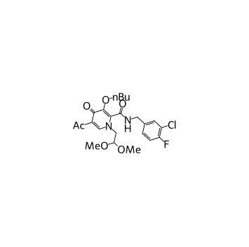 CCCCOc1c(C(=O)NCc2ccc(F)c(Cl)c2)n(CC(OC)OC)cc(C(C)=O)c1=O